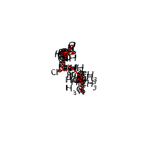 Cc1ncsc1-c1ccc([C@H](C)NC(=O)[C@@H]2C[C@@H](O)CN2C(=O)[C@@H](NC(=O)CCCCCCC(=O)N[C@H]2CCCN(CC3(C)CCC(c4ccc(Cl)cc4)=C(CN4CCN(c5ccc(C(=O)NS(=O)(=O)c6ccc(N[C@H](CCN7CCOCC7)CSc7ccccc7)c(S(=O)(=O)C(F)(F)F)c6)cc5)CC4)C3)C2)C(C)(C)C)cc1